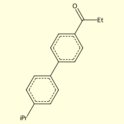 CCC(=O)c1ccc(-c2ccc(C(C)C)cc2)cc1